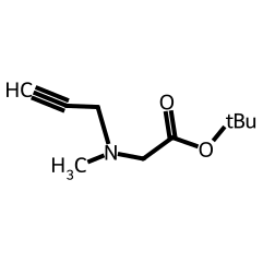 C#CCN(C)CC(=O)OC(C)(C)C